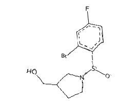 [O-][S+](c1ccc(F)cc1Br)N1CCC(CO)C1